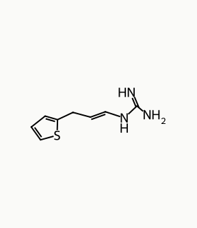 N=C(N)N/C=C/Cc1cccs1